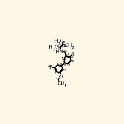 CCOc1cc(F)cc(-c2ccc(F)c(CN[C@H](C)C(C)C)n2)c1